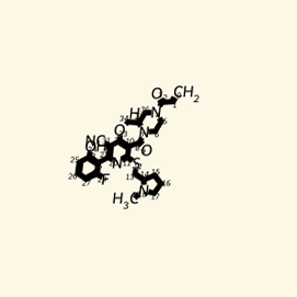 C=CC(=O)N1CCN2C(=O)c3c(SCC4CCCN4C)nc(-c4c(O)cccc4F)c(C#N)c3OC[C@H]2C1